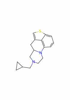 c1cc2c3c(csc3c1)CC1CN(CC3CC3)CCN21